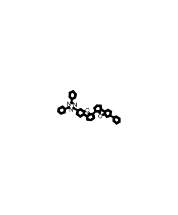 c1ccc(-c2ccc3c(c2)oc2c(-c4cccc5c4oc4cc(-c6nc(-c7ccccc7)nc(-c7ccccc7)n6)ccc45)cccc23)cc1